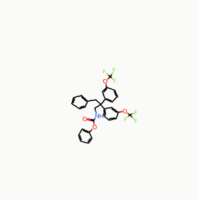 O=C(NCC(Cc1ccccc1)(c1cccc(OC(F)(F)F)c1)c1cccc(OC(F)(F)F)c1)Oc1ccccc1